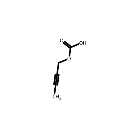 CC#CCOC(=O)O